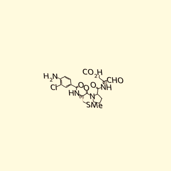 CSC[C@H](NC(=O)c1ccc(N)c(Cl)c1)C(=O)N1CCCC1C(=O)N[C@H](C=O)CC(=O)O